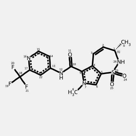 C[C@H]1C=Cc2c(cn(C)c2C(=O)Nc2ccnc(C(F)(F)F)c2)S(=O)(=O)N1